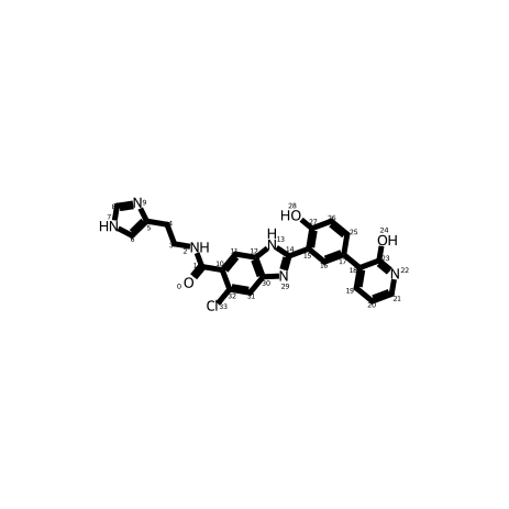 O=C(NCCc1c[nH]cn1)c1cc2[nH]c(-c3cc(-c4cccnc4O)ccc3O)nc2cc1Cl